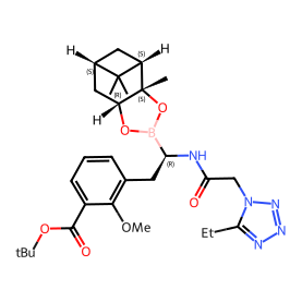 CCc1nnnn1CC(=O)N[C@@H](Cc1cccc(C(=O)OC(C)(C)C)c1OC)B1O[C@@H]2C[C@@H]3C[C@@H](C3(C)C)[C@]2(C)O1